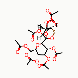 CC(=O)OC[C@H]1O[C@@H]([C@]23OS[C@H]([C@H](OC(C)=O)[C@H]2OC(C)=O)[C@@H](COC(C)=O)O3)[C@H](OC(C)=O)[C@@H](OC(C)=O)[C@@H]1OC(C)=O